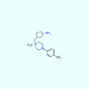 Cc1ccc(N2CC[N+](C)(CC3CCC(N)C3)CC2)cc1